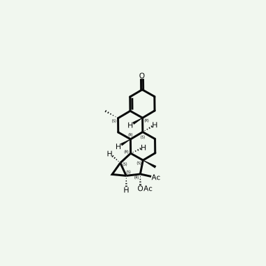 CC(=O)O[C@]1(C(C)=O)[C@H]2C[C@H]2[C@H]2[C@@H]3C[C@H](C)C4=CC(=O)CC[C@@H]4[C@H]3CC[C@@]21C